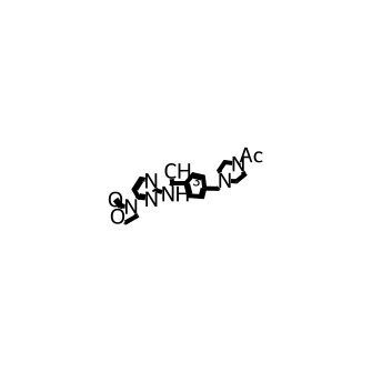 CC(=O)N1CCN(Cc2ccc(C(C)Nc3nccc(N4CCOC4=O)n3)cc2)CC1